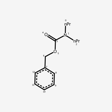 CCCN(CCC)C(=O)OCc1ccccc1